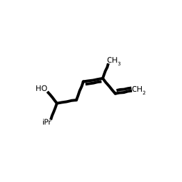 C=CC(C)=CCC(O)C(C)C